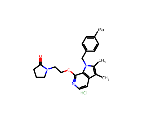 Cc1c(C)n(Cc2ccc(C(C)(C)C)cc2)c2c(OCCN3CCCC3=O)nccc12.Cl